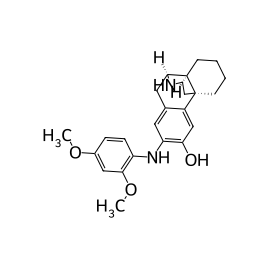 COc1ccc(Nc2cc3c(cc2O)[C@]24CCCC[C@@H]2[C@H](C3)NCC4)c(OC)c1